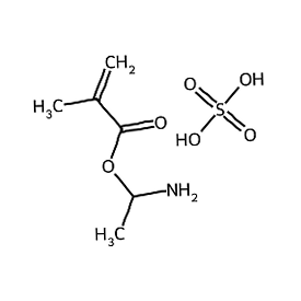 C=C(C)C(=O)OC(C)N.O=S(=O)(O)O